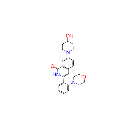 O=c1[nH]c(-c2ccccc2N2CCOCC2)cc2ccc(N3CCC(O)CC3)cc12